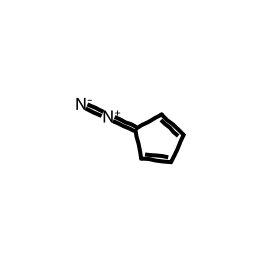 [N-]=[N+]=C1C=CC=C1